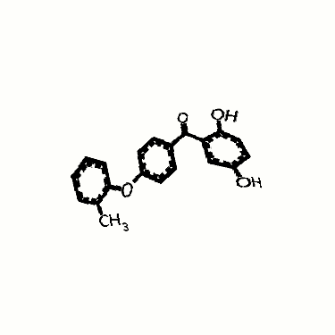 Cc1ccccc1Oc1ccc(C(=O)c2cc(O)ccc2O)cc1